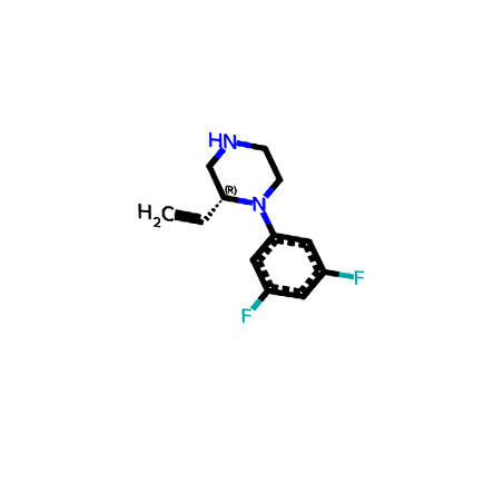 C=C[C@@H]1CNCCN1c1cc(F)cc(F)c1